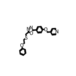 c1ccc(OCCSCc2nnc(-c3ccc(OCc4ccncc4)cc3)o2)cc1